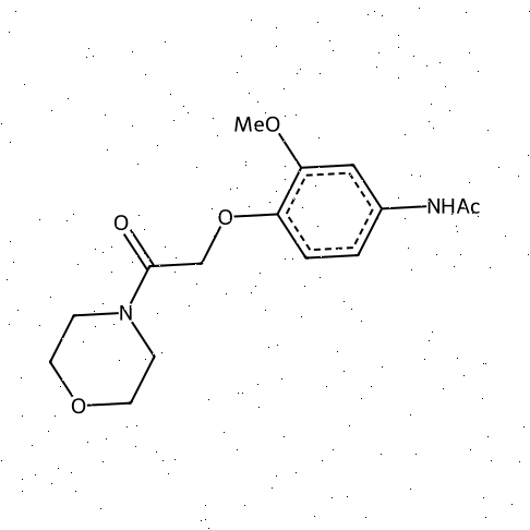 COc1cc(NC(C)=O)ccc1OCC(=O)N1CCOCC1